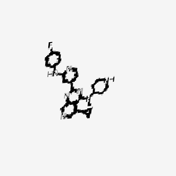 CN(c1nc(-c2ccnc(Nc3ccc(F)cc3)c2)nc2cncc(C3CC3)c12)C1CCNCC1